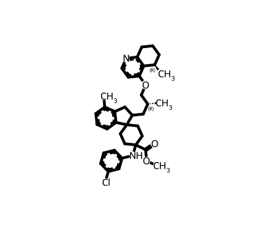 COC(=O)C1(Nc2cccc(Cl)c2)CCC2(CC1)c1cccc(C)c1CC2C[C@@H](C)COc1ccnc2c1[C@H](C)CCC2